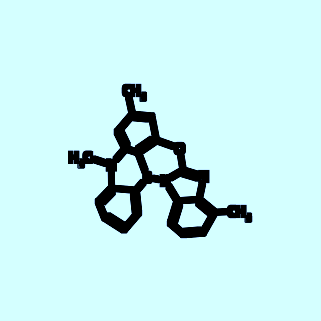 Cc1cc2c3c(c1)N(C)c1ccccc1B3n1c(nc3c(C)cccc31)O2